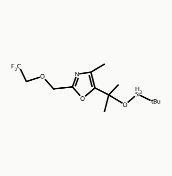 Cc1nc(COCC(F)(F)F)oc1C(C)(C)O[SiH2]C(C)(C)C